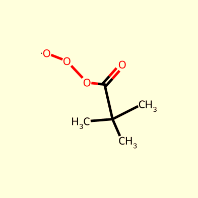 CC(C)(C)C(=O)OO[O]